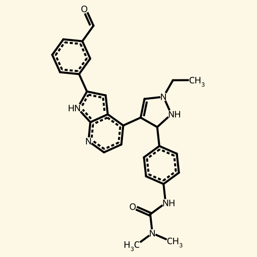 CCN1C=C(c2ccnc3[nH]c(-c4cccc(C=O)c4)cc23)C(c2ccc(NC(=O)N(C)C)cc2)N1